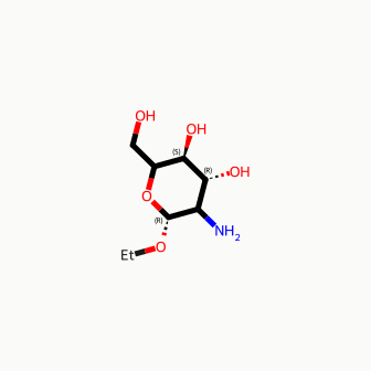 CCO[C@@H]1OC(CO)[C@@H](O)[C@H](O)C1N